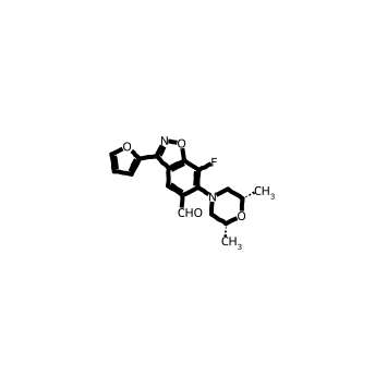 C[C@@H]1CN(c2c(C=O)cc3c(-c4ccco4)noc3c2F)C[C@H](C)O1